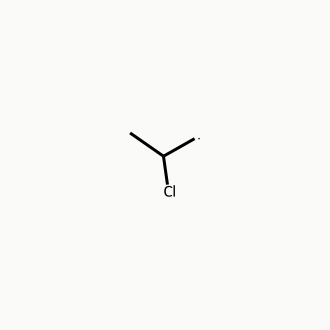 [CH2]C(C)Cl